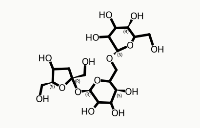 OCC1O[C@H](OCC2O[C@H](O[C@@]3(CO)CC(O)[C@H](CO)O3)C(O)C(O)[C@@H]2O)C(O)C(O)[C@H]1O